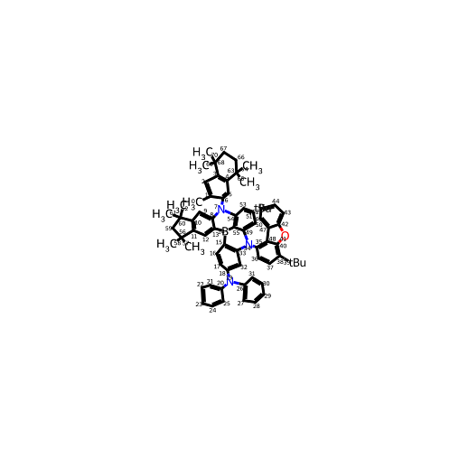 Cc1cc2c(cc1N1c3cc4c(cc3B3c5ccc(N(c6ccccc6)c6ccccc6)cc5N(c5ccc(C(C)(C)C)c6oc7ccccc7c56)c5cc(C(C)(C)C)cc1c53)C(C)(C)CC4(C)C)C(C)(C)CCC2(C)C